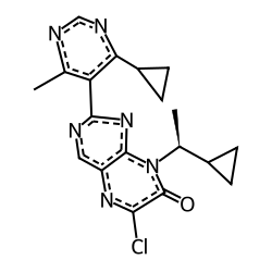 Cc1ncnc(C2CC2)c1-c1ncc2nc(Cl)c(=O)n([C@@H](C)C3CC3)c2n1